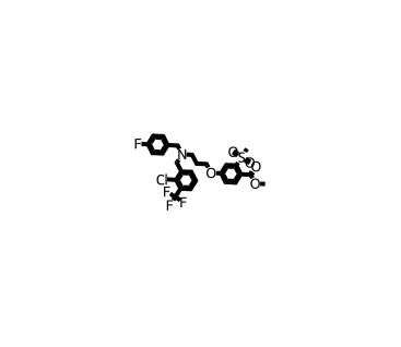 COC(=O)c1ccc(OCCCN(Cc2ccc(F)cc2)Cc2cccc(C(F)(F)F)c2Cl)cc1S(C)(=O)=O